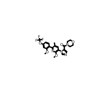 COc1cc(OC(F)(F)F)ccc1-c1nc(OC)c(-n2cncc2C(=O)N2CCOCC2)cc1C